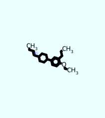 CC/C=C/C1CCC(c2ccc(OCC)c(CCC)c2)CC1